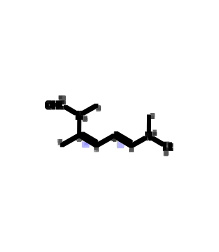 CCN(C)/C=C/C=C(/C)N(C)C=O